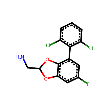 NCC1Oc2cc(F)cc(-c3c(Cl)cccc3Cl)c2O1